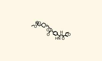 CCOC(=O)CC1(O)CCN(CC2CN(c3ccc(C(=N)NC(=O)c4ccoc4)cc3)C(=O)O2)CC1